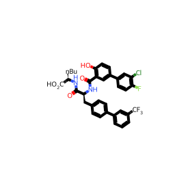 CCCC[C@H](NC(=O)[C@H](Cc1ccc(-c2cccc(C(F)(F)F)c2)cc1)NC(=O)c1cc(-c2ccc(F)c(Cl)c2)ccc1O)C(=O)O